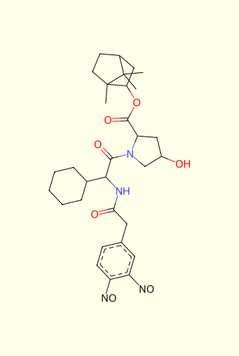 CC1(C)C2CCC1(C)C(OC(=O)C1CC(O)CN1C(=O)C(NC(=O)Cc1ccc(N=O)c(N=O)c1)C1CCCCC1)C2